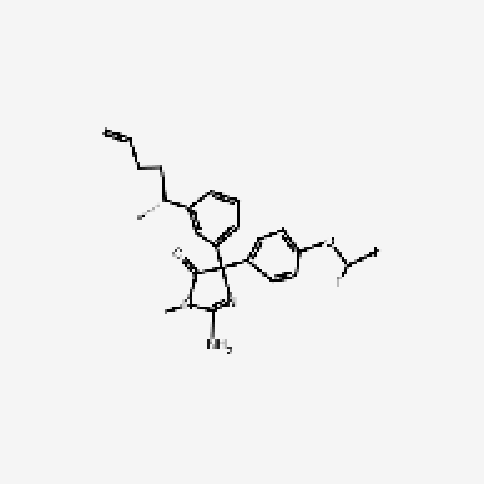 C=CCC[C@@H](F)c1cccc(C2(c3ccc(OC(F)F)cc3)N=C(N)N(C)C2=O)c1